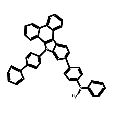 CN(c1ccccc1)c1ccc(-c2ccc3c4c5ccccc5c5ccccc5c4n(-c4ccc(-c5ccccc5)cc4)c3c2)cc1